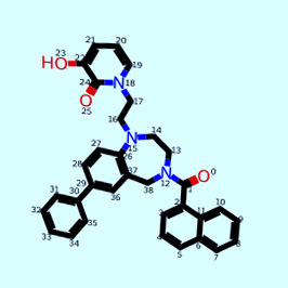 O=C(c1cccc2ccccc12)N1CCN(CCn2cccc(O)c2=O)c2ccc(-c3ccccc3)cc2C1